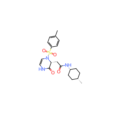 Cc1ccc(S(=O)(=O)N2C=CNC(=O)[C@H]2CC(=O)N[C@H]2CC[C@@H](C)CC2)cc1